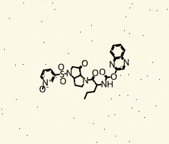 CCCC(NC(=O)Oc1cnc2ccccc2n1)C(=O)N1CCC2C1C(=O)CN2S(=O)(=O)c1ccc[n+]([O-])c1